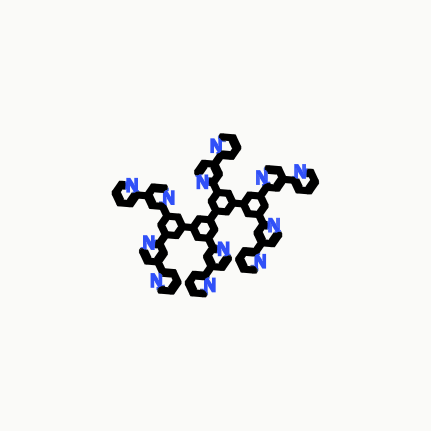 c1ccc(-c2ccnc(C3CC(c4cc(-c5ccccn5)ccn4)CC(C4CC(c5cc(-c6ccccn6)ccn5)CC(C5CC(c6cc(-c7ccccn7)ccn6)CC(C6CC(c7cc(-c8ccccn8)ccn7)CC(c7cc(-c8ccccn8)ccn7)C6)C5)C4)C3)c2)nc1